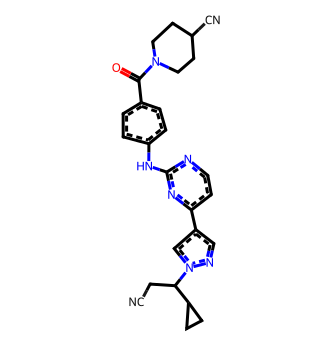 N#CCC(C1CC1)n1cc(-c2ccnc(Nc3ccc(C(=O)N4CCC(C#N)CC4)cc3)n2)cn1